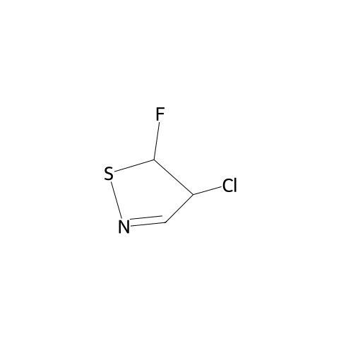 FC1SN=CC1Cl